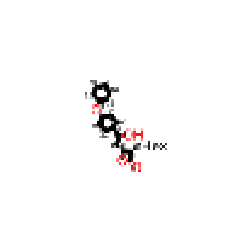 CCCCCC[C@@H]1C(=O)O[C@H]1CC(O)c1ccc(Oc2ccccc2)cc1